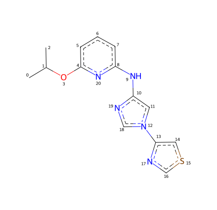 CC(C)Oc1cccc(Nc2cn(-c3cscn3)cn2)n1